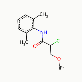 Cc1cccc(C)c1NC(=O)C(Cl)COC(C)C